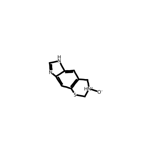 [O-][NH+]1CSc2cc3nc[nH]c3cc2C1